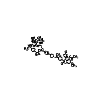 COc1cc2c(cc1OC(C)C)[C@H](c1ccc(Cl)cc1)N(c1ccc(N(C)C[C@H]3CC[C@H](N4CCN(CCCCC(=O)N[C@H](C(=O)N5C[C@H](O)C[C@H]5C(=O)N[C@@H](C)c5ccc(-c6scnc6C)cc5)C(C)(C)C)CC4)CC3)cc1)C(=O)C2